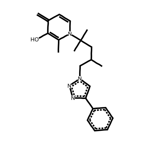 C=C1C=CN(C(C)(C)CC(C)Cn2cc(-c3ccccc3)nn2)C(C)=C1O